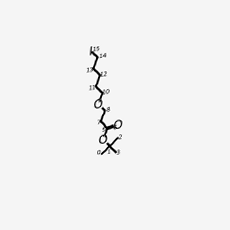 CC(C)(C)OC(=O)CCOCCCCCI